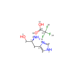 N[C@H](CO)Cc1c[nH]cn1.O=C(O)C(F)(F)F